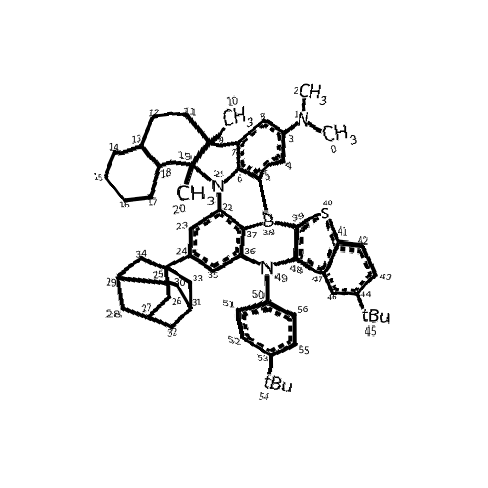 CN(C)c1cc2c3c(c1)C1(C)CCC4CCCCC4C1(C)N3c1cc(C34CC5CC(CC(C5)C3)C4)cc3c1B2c1sc2ccc(C(C)(C)C)cc2c1N3c1ccc(C(C)(C)C)cc1